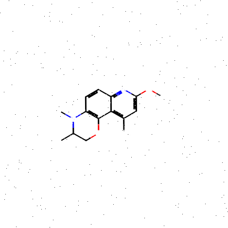 CC(C)Oc1cc(C(F)(F)F)c2c3c(ccc2n1)N(C)C(C)CO3